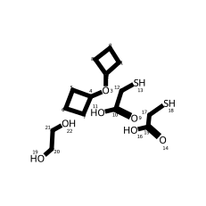 C1CC(OC2CCC2)C1.O=C(O)CS.O=C(O)CS.OCCO